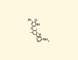 Cc1cc(N2C=NC=C(N)N2)cc(C)c1Oc1c[nH]c(=O)c(C(C)C)c1